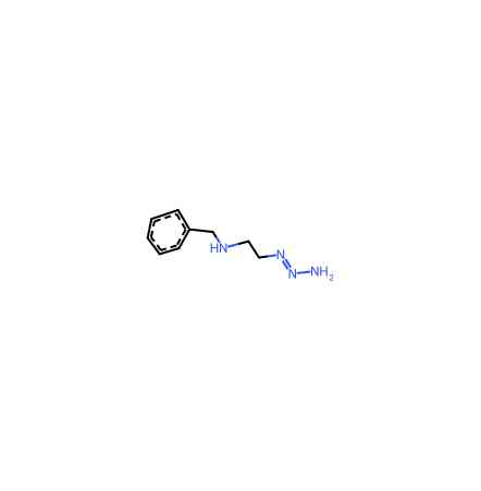 NN=NCCNCc1ccccc1